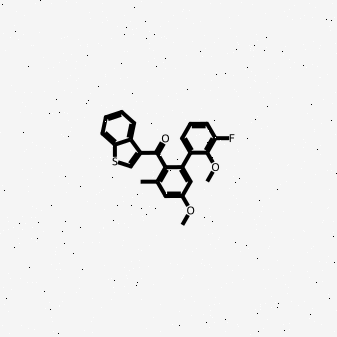 COc1cc(C)c(C(=O)c2csc3ccccc23)c(-c2cccc(F)c2OC)c1